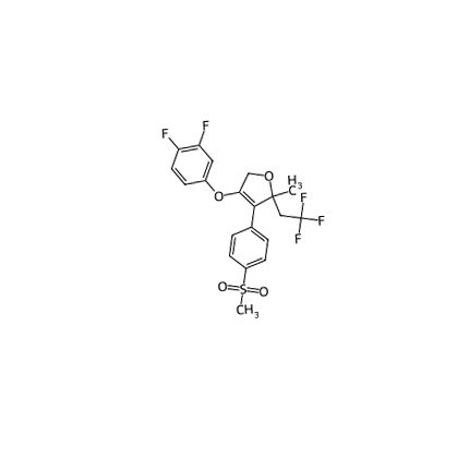 CC1(CC(F)(F)F)OCC(Oc2ccc(F)c(F)c2)=C1c1ccc(S(C)(=O)=O)cc1